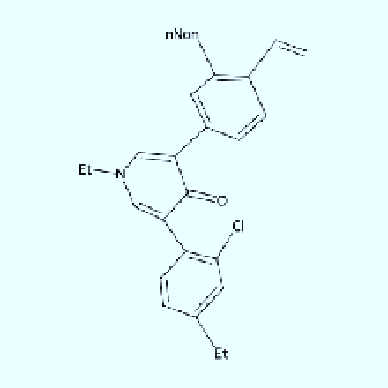 C=Cc1ccc(-c2cn(CC)cc(-c3ccc(CC)cc3Cl)c2=O)cc1CCCCCCCCC